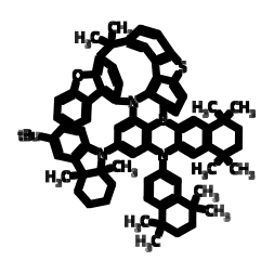 CC(C)(C)c1ccc2c(c1)C1(C)CCCCC1(C)N2c1cc2c3c(c1)N1c4c(ccc5sc6ccc(cc6c45)C(C)(C)c4ccc1c1c4oc4ccccc41)B3c1cc3c(cc1N2c1ccc2c(c1)C(C)(C)CCC2(C)C)C(C)(C)CCC3(C)C